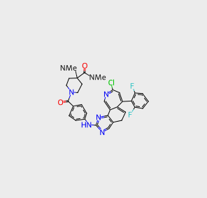 CNC(=O)C1(NC)CCN(C(=O)c2ccc(Nc3ncc4c(n3)C3=CN=C(Cl)C=C(c5c(F)cccc5F)C3=CC4)cc2)CC1